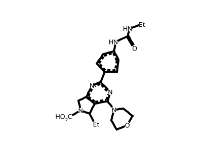 CCNC(=O)Nc1ccc(-c2nc3c(c(N4CCOCC4)n2)C(CC)N(C(=O)O)C3)cc1